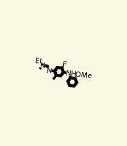 CCN(C)/C=N/c1cc(F)c(Nc2ccccc2OC)cc1C